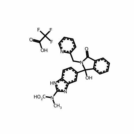 CN(C(=O)O)c1nc2cc(C3(O)c4ccccc4C(=O)N3Cc3ccccn3)ccc2[nH]1.O=C(O)C(F)(F)F